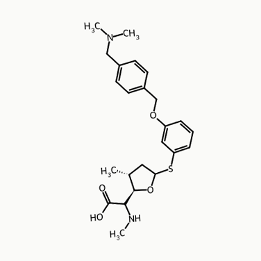 CNC(C(=O)O)[C@@H]1OC(Sc2cccc(OCc3ccc(CN(C)C)cc3)c2)C[C@H]1C